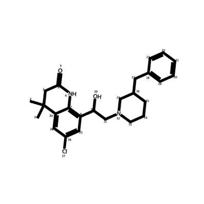 CC1(C)CC(=O)Nc2c(C(O)CN3CCCC(Cc4ccccc4)C3)cc(Cl)cc21